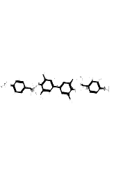 [C-]#[N+]c1ccc(C(=O)Oc2c(C)cc(-c3cc(C)c(OC(=O)c4ccc(C#N)cc4)c(C)c3)cc2C)cc1